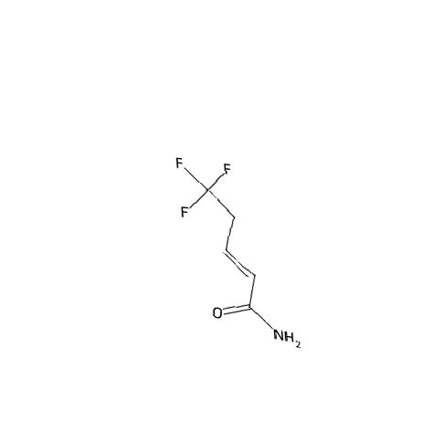 NC(=O)C=CCC(F)(F)F